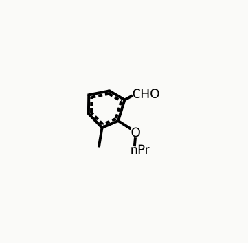 CCCOc1c(C)cccc1C=O